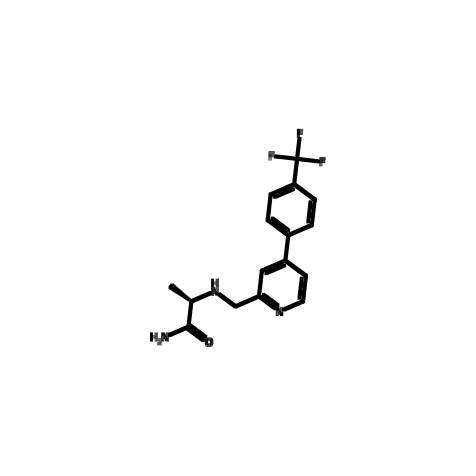 C[C@@H](NCc1cc(-c2ccc(C(F)(F)F)cc2)ccn1)C(N)=O